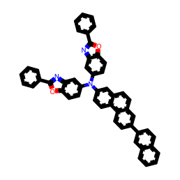 c1ccc(-c2nc3cc(N(c4ccc5c(ccc6cc(-c7ccc8ccccc8c7)ccc65)c4)c4ccc5oc(-c6ccccc6)nc5c4)ccc3o2)cc1